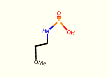 COCCN[P](=O)O